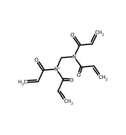 C=CC(=O)N(C[N+](C(=O)C=C)C(=O)C=C)C(=O)C=C